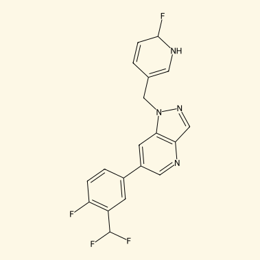 Fc1ccc(-c2cnc3cnn(CC4=CNC(F)C=C4)c3c2)cc1C(F)F